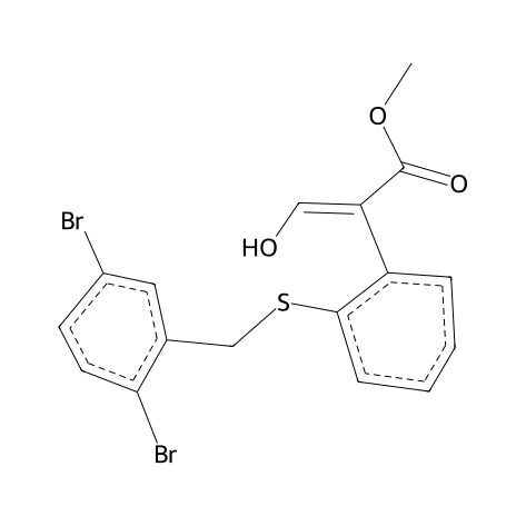 COC(=O)/C(=C/O)c1ccccc1SCc1cc(Br)ccc1Br